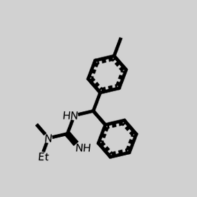 CCN(C)C(=N)NC(c1ccccc1)c1ccc(C)cc1